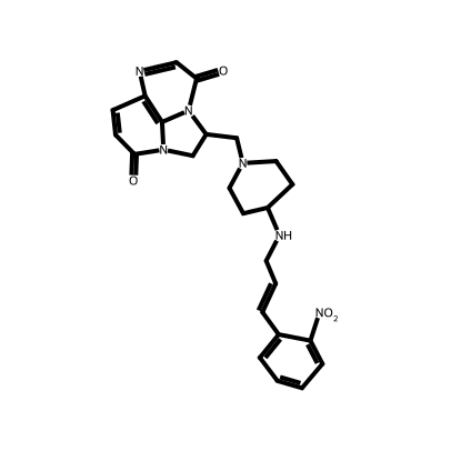 O=c1ccc2ncc(=O)n3c2n1CC3CN1CCC(NC/C=C/c2ccccc2[N+](=O)[O-])CC1